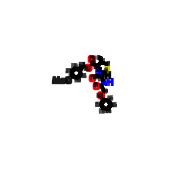 C=C1CS[C@H]2C(NC(=O)COc3ccccc3)C(=O)N2C1C(=O)OCc1ccc(OC)cc1